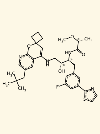 CO[C@H](C)C(=O)N[C@@H](Cc1cc(F)cc(-c2nccs2)c1)[C@H](O)CNC1=CC2(CCC2)Oc2ncc(CC(C)(C)C)cc21